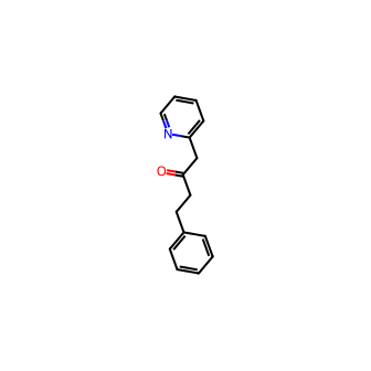 O=C(CCc1ccccc1)Cc1ccccn1